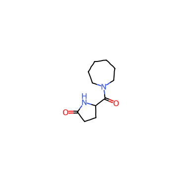 O=C1CCC(C(=O)N2CCCCCC2)N1